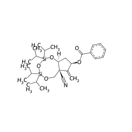 C=C1[C@H](OC(=O)c2ccccc2)C[C@@H]2O[Si](C(C)C)(C(C)C)O[Si](C(C)C)(C(C)C)OC[C@@]12C#N